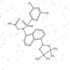 CC1(C)OB(c2cccc3c(N(CC(=O)O)S(=O)(=O)c4cc(Cl)cc(Cl)c4)cccc23)OC1(C)C